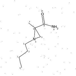 CCCCN1CC1(C)C(N)=O